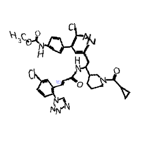 COC(=O)Nc1ccc(-c2cc(CC(NC(=O)/C=C/c3cc(Cl)ccc3-n3cnnn3)C3CCCN(C(=O)C4CC4)C3)nnc2Cl)cc1